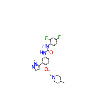 CC1CCN(CCOc2ccc(NC(=O)Nc3ccc(F)cc3F)cc2-c2ccnn2C)CC1